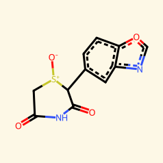 O=C1C[S+]([O-])C(c2ccc3ocnc3c2)C(=O)N1